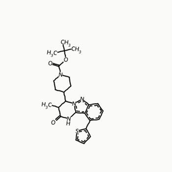 CC1C(=O)Nc2c3c(-c4cccs4)cccc3nn2C1C1CCN(C(=O)OC(C)(C)C)CC1